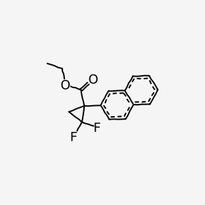 CCOC(=O)C1(c2ccc3ccccc3c2)CC1(F)F